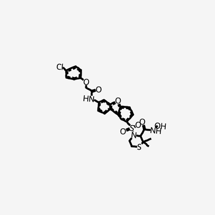 CC1(C)SCCN(S(=O)(=O)c2ccc3oc4cc(NC(=O)COc5ccc(Cl)cc5)ccc4c3c2)C1C(=O)NO